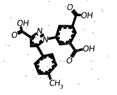 Cc1ccc(-c2cc(C(=O)O)nn2-c2cc(C(=O)O)cc(C(=O)O)c2)cc1